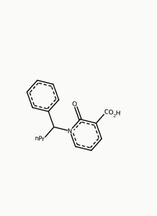 CCCC(c1ccccc1)n1cccc(C(=O)O)c1=O